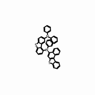 c1ccc(N(c2ccccc2)c2ccc3sc4cccc(N(c5ccccc5)c5cc6sc7ccccc7c6c6ccccc56)c4c3c2)cc1